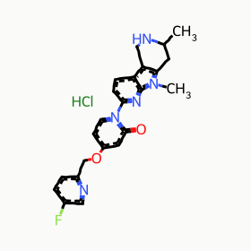 CC1Cc2c(c3ccc(-n4ccc(OCc5ccc(F)cn5)cc4=O)nc3n2C)CN1.Cl